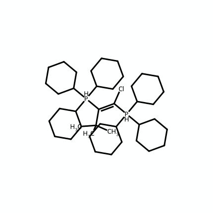 CC(C)(C)C(=C(Cl)[PH](C1CCCCC1)(C1CCCCC1)C1CCCCC1)[PH](C1CCCCC1)(C1CCCCC1)C1CCCCC1